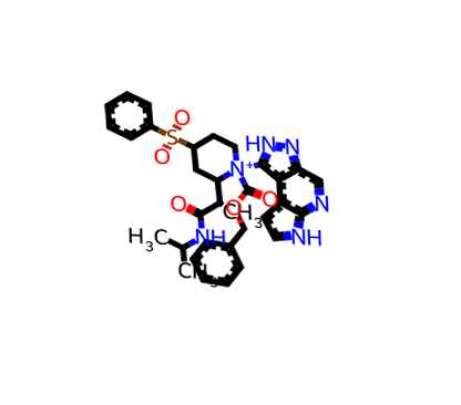 CC(C)NC(=O)C(C)C1CC(S(=O)(=O)c2ccccc2)CC[N+]1(C(=O)OCc1ccccc1)c1[nH]nc2cnc3[nH]ccc3c12